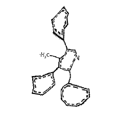 [CH2]c1c(-c2ccccc2)cnc(-c2ccccc2)c1-c1ccccc1